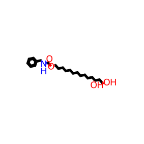 O=C(NCc1ccccc1)OCCCCCCCCCCCC(O)CCO